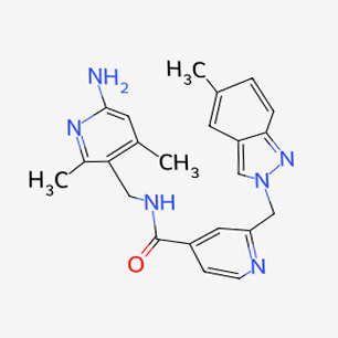 Cc1ccc2nn(Cc3cc(C(=O)NCc4c(C)cc(N)nc4C)ccn3)cc2c1